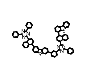 c1ccc(-c2nc(-c3ccccc3)nc(-c3ccc(-c4ccc5sc6cc(-c7cccc(-c8nc(-c9ccccc9)nc(-c9ccc(-c%10cccc%11c%10sc%10ccccc%10%11)c%10ccccc9%10)n8)c7)ccc6c5c4)c4ccccc34)n2)cc1